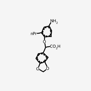 CCCc1cc(N)ccc1OC(C(=O)O)c1ccc2c(c1)OCO2